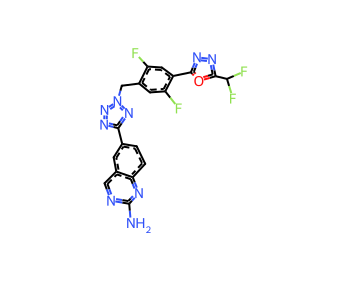 Nc1ncc2cc(-c3nnn(Cc4cc(F)c(-c5nnc(C(F)F)o5)cc4F)n3)ccc2n1